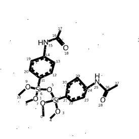 CO[Si](OC)(O[Si](OC)(OC)c1ccc(NC(C)=O)cc1)c1ccc(NC(C)=O)cc1